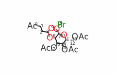 CC(=O)CCC(=O)O[C@H]1[C@@H](OBr)O[C@H](COC(C)=O)[C@H](OC(C)=O)[C@@H]1OC(C)=O